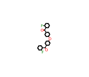 O=C(c1ccc(Oc2ccc(C(=O)c3ccccc3F)cc2)cc1)c1ccccc1F